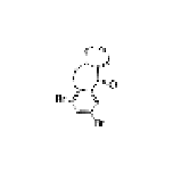 O=C1c2ccccc2CCc2c(Br)cc(Br)cc21